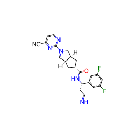 N#Cc1ccnc(N2C[C@H]3C[C@H](C(=O)N[C@@H](CC=N)c4cc(F)cc(F)c4)C[C@H]3C2)n1